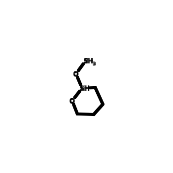 [SiH3]O[SiH]1CCCCO1